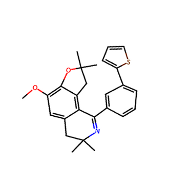 COc1cc2c(c3c1OC(C)(C)C3)C(c1cccc(-c3cccs3)c1)=NC(C)(C)C2